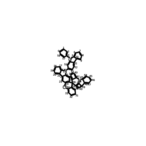 c1ccc(-n2c3ccccc3c3ccc(-n4c5ccccc5c5cc6c(cc54)C4(c5ccccc5O6)c5ccccc5-n5c6ccccc6c6cccc4c65)cc32)cc1